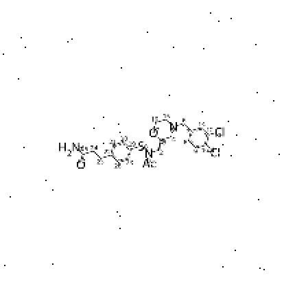 CC(=O)N(C[C@@H]1CN(Cc2ccc(Cl)c(Cl)c2)CCO1)Sc1ccc(CCC(N)=O)cc1